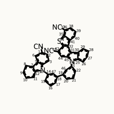 N#Cc1ccc2c(c1)c1ccccc1n2-c1cccc(-c2cccc(-n3c4ccccc4c4c5c(sc6c(C#N)cccc65)c(C#N)cc43)c2)c1